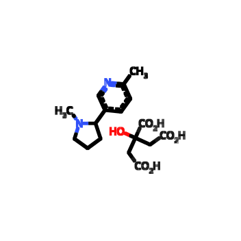 Cc1ccc(C2CCCN2C)cn1.O=C(O)CC(O)(CC(=O)O)C(=O)O